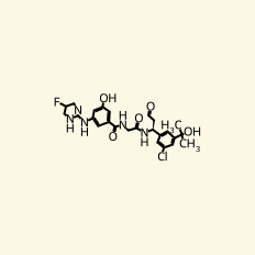 CC(C)(O)c1cc(Cl)cc([C@H](CC=O)NC(=O)CNC(=O)c2cc(O)cc(NC3=NCC(F)CN3)c2)c1